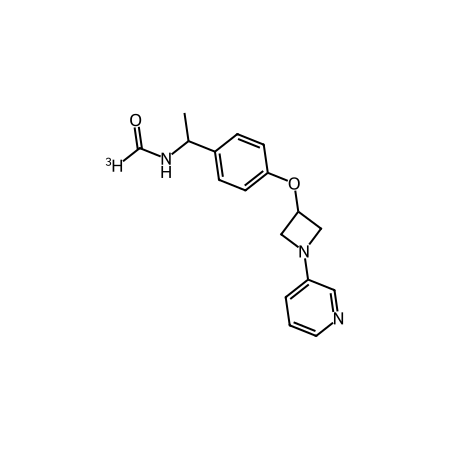 [3H]C(=O)NC(C)c1ccc(OC2CN(c3cccnc3)C2)cc1